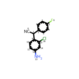 N#CC(c1ccc(F)cc1)c1ccc(N)cc1Cl